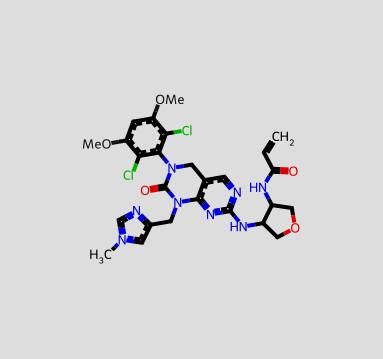 C=CC(=O)NC1COCC1Nc1ncc2c(n1)N(Cc1cn(C)cn1)C(=O)N(c1c(Cl)c(OC)cc(OC)c1Cl)C2